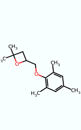 Cc1cc(C)c(OCC2CC(C)(C)O2)c(C)c1